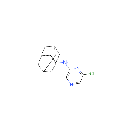 Clc1cncc(NC23CC4CC(CC(C4)C2)C3)n1